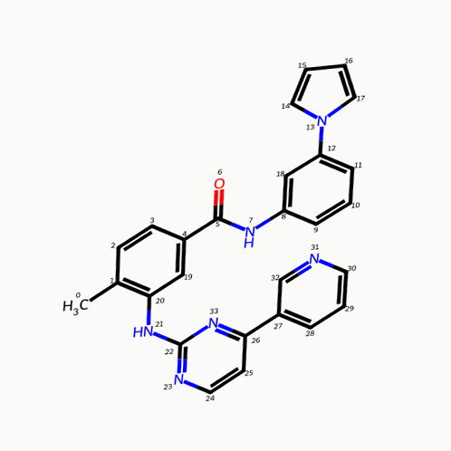 Cc1ccc(C(=O)Nc2cccc(-n3cccc3)c2)cc1Nc1nccc(-c2cccnc2)n1